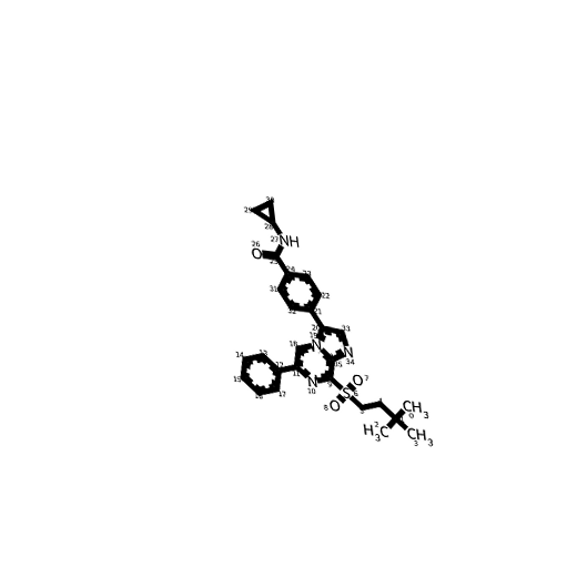 CC(C)(C)CCS(=O)(=O)c1nc(-c2ccccc2)cn2c(-c3ccc(C(=O)NC4CC4)cc3)cnc12